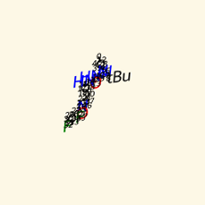 Cc1ccc(-n2nc(C(C)(C)C)cc2NC(=O)Nc2cccc(CC3CCN(C(=O)Cc4ccc(F)cc4F)CC3)c2)cc1